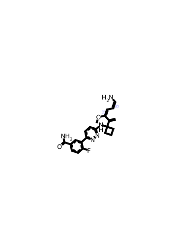 C=C(/C(=C\C=C/N)OC)C1(Nc2ccc(-c3cc(C(N)=O)ccc3F)nn2)CCC1